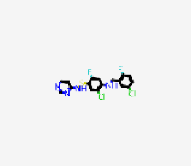 Fc1ccc(Cl)cc1CNc1cc(F)c(SNc2ccncn2)cc1Cl